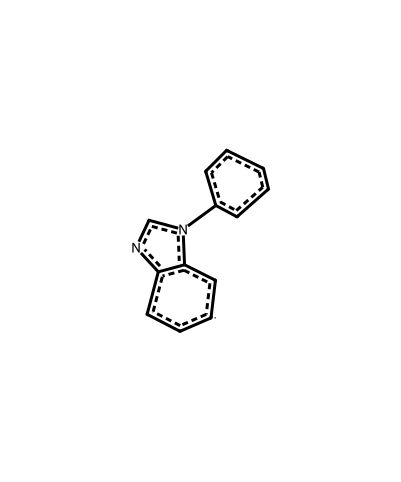 [c]1ccc2ncn(-c3ccccc3)c2c1